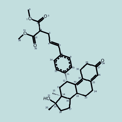 COC(=O)C(C/C=C/c1ccc([C@H]2C[C@@]3(C)C(CC[C@]3(C)O)C3CCC4=CC(=O)CCC4=C32)cc1)C(=O)OC